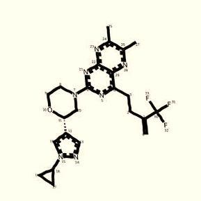 C=C(CCc1nc(N2CCO[C@@H](c3cnn(C4CC4)c3)C2)nc2nc(C)c(C)nc12)C(F)(F)F